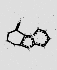 O=C1CCCc2nc3ccccn3c21